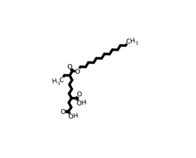 CCCCCCCCCCCCCOC(=O)C(CC)CCCCC(CCC(=O)O)C(=O)O